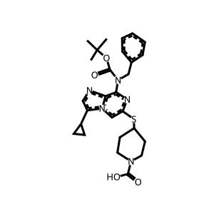 CC(C)(C)OC(=O)N(Cc1ccccc1)c1nc(SC2CCN(C(=O)O)CC2)cn2c(C3CC3)cnc12